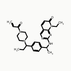 C=CC(=O)N1CCN(C(CC)c2ccc([C@H](C)Nc3ncc4ccc(=O)n(CC)c4n3)cc2)CC1